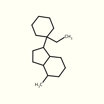 CCC1(C2CCC3C(C)CCCC32)CCCCC1